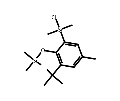 Cc1cc(C(C)(C)C)c(O[Si](C)(C)C)c([Si](C)(C)Cl)c1